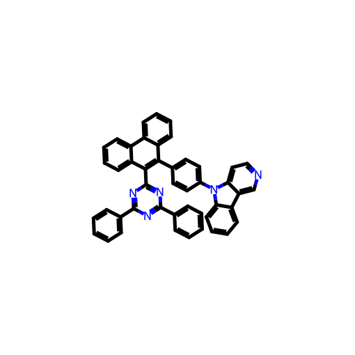 c1ccc(-c2nc(-c3ccccc3)nc(-c3c(-c4ccc(-n5c6ccccc6c6cnccc65)cc4)c4ccccc4c4ccccc34)n2)cc1